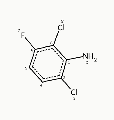 Nc1c(Cl)ccc(F)c1Cl